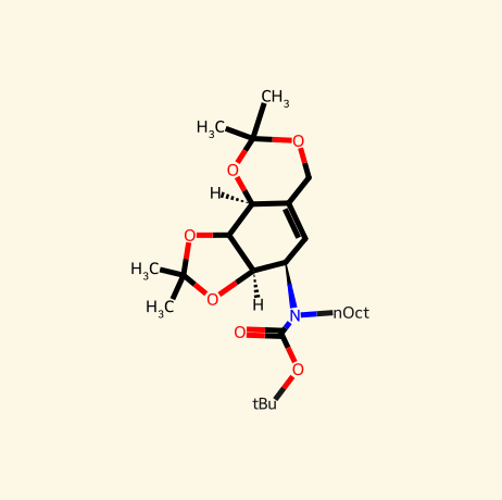 CCCCCCCCN(C(=O)OC(C)(C)C)[C@@H]1C=C2COC(C)(C)O[C@@H]2C2OC(C)(C)O[C@@H]21